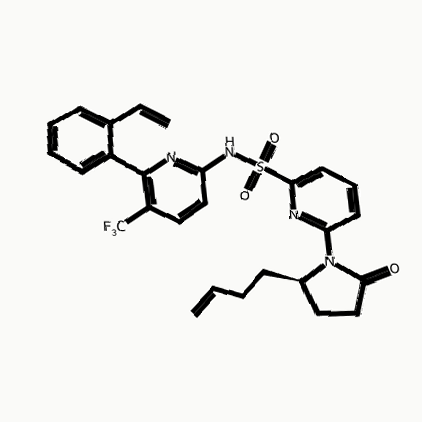 C=CCC[C@@H]1CCC(=O)N1c1cccc(S(=O)(=O)Nc2ccc(C(F)(F)F)c(-c3ccccc3C=C)n2)n1